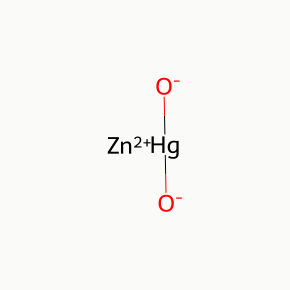 [O-][Hg][O-].[Zn+2]